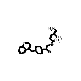 C=C(/C=C\C(C)=C/N)NCC(CC)C1CCC(Cc2ccnc3ccccc23)CC1